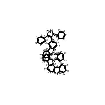 c1ccc(-c2nnn(-c3ccccc3)c2-c2ccc3c(c2)c2ccccc2n3-c2ccccc2-n2c3ccccc3c3ccc4oc5ccccc5c4c32)cc1